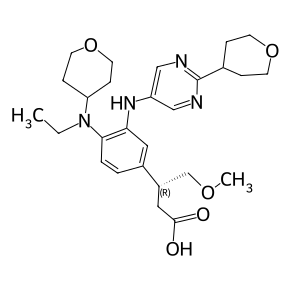 CCN(c1ccc([C@H](COC)CC(=O)O)cc1Nc1cnc(C2CCOCC2)nc1)C1CCOCC1